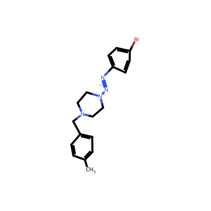 Cc1ccc(CN2CCN(/N=N/c3ccc(Br)cc3)CC2)cc1